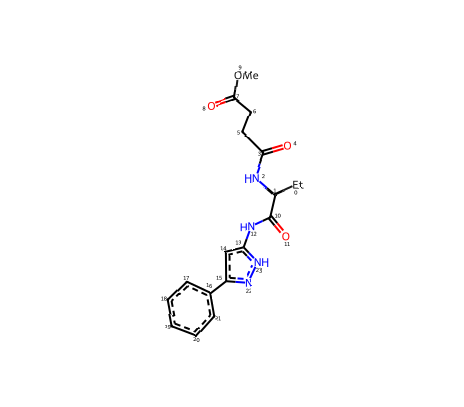 CCC(NC(=O)CCC(=O)OC)C(=O)Nc1cc(-c2ccccc2)n[nH]1